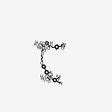 CC(C)(C)C(NC(=O)COCCCCOc1ccc(-c2ccc(N3C(=S)N(c4ccc(C#N)c(C(F)(F)F)c4)C(=O)C3(C)C)c(F)c2)cc1)C(=O)N1CCC[C@H]1C(=O)NCc1ccc(-c2cnco2)cc1